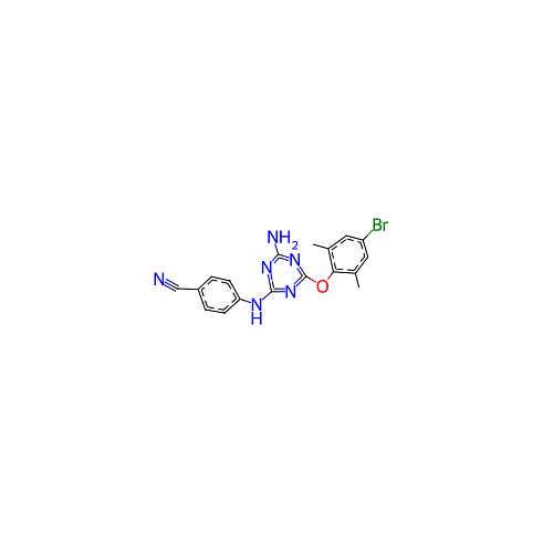 Cc1cc(Br)cc(C)c1Oc1nc(N)nc(Nc2ccc(C#N)cc2)n1